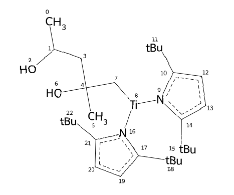 CC(O)CC(C)(O)[CH2][Ti]([n]1c(C(C)(C)C)ccc1C(C)(C)C)[n]1c(C(C)(C)C)ccc1C(C)(C)C